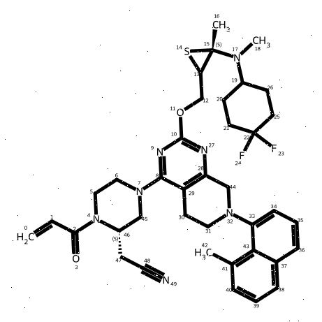 C=CC(=O)N1CCN(c2nc(OCC3S[C@]3(C)N(C)C3CCC(F)(F)CC3)nc3c2CCN(c2cccc4cccc(C)c24)C3)C[C@@H]1CC#N